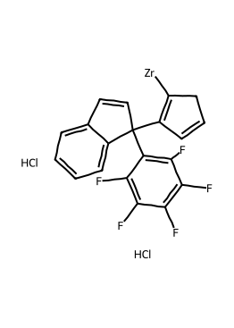 Cl.Cl.Fc1c(F)c(F)c(C2(C3=[C]([Zr])CC=C3)C=Cc3ccccc32)c(F)c1F